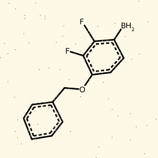 Bc1ccc(OCc2ccccc2)c(F)c1F